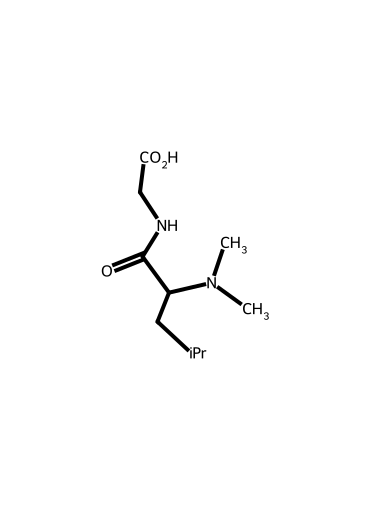 CC(C)CC(C(=O)NCC(=O)O)N(C)C